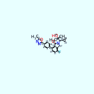 Cc1nnc(-c2ccc(-c3ccc(F)c4c3C(=O)N([C@H](C3CC3)C(C)(C)O)C4)cc2)o1